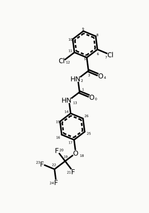 O=C(NC(=O)c1c(Cl)cccc1Cl)Nc1ccc(OC(F)(F)C(F)F)cc1